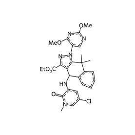 CCOC(=O)c1nn(-c2cnc(OC)nc2OC)c2c1C(Nc1cc(Cl)cn(C)c1=O)c1ccccc1C2(C)C